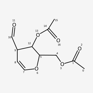 CC(=O)OCC1OC=CC(C=O)C1OC(C)=O